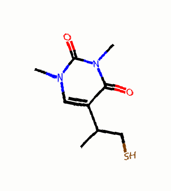 CC(CS)c1cn(C)c(=O)n(C)c1=O